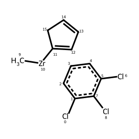 Clc1cccc(Cl)c1Cl.[CH3][Zr][C]1=CC=CC1